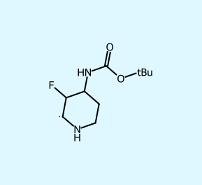 CC(C)(C)OC(=O)NC1CCN[CH]C1F